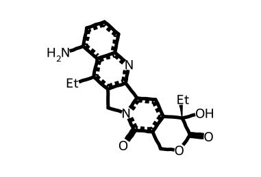 CCc1c2c(nc3cccc(N)c13)-c1cc3c(c(=O)n1C2)COC(=O)[C@]3(O)CC